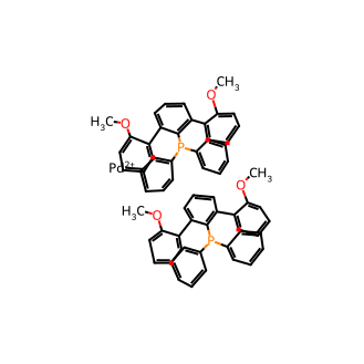 COc1ccccc1-c1cccc(-c2ccccc2OC)c1P(c1ccccc1)c1ccccc1.COc1ccccc1-c1cccc(-c2ccccc2OC)c1P(c1ccccc1)c1ccccc1.[Pd+2]